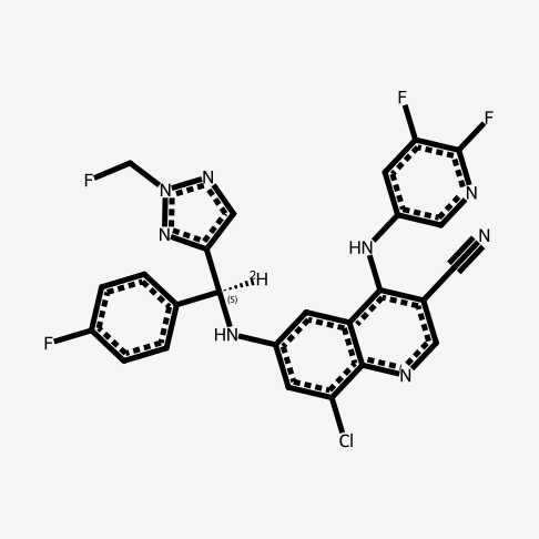 [2H][C@](Nc1cc(Cl)c2ncc(C#N)c(Nc3cnc(F)c(F)c3)c2c1)(c1ccc(F)cc1)c1cnn(CF)n1